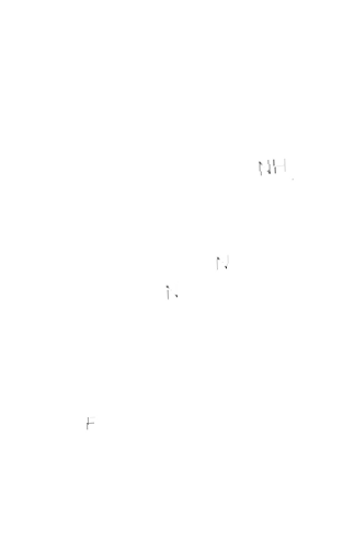 CCc1cn(CCF)nc1N